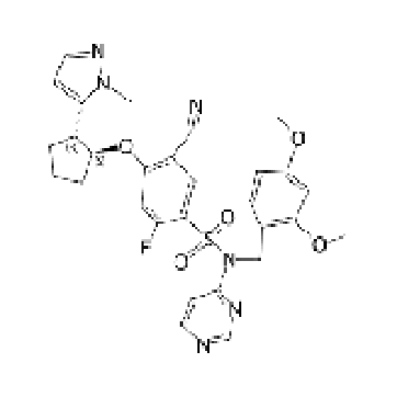 COc1ccc(CN(c2ccncn2)S(=O)(=O)c2cc(C#N)c(O[C@H]3CCC[C@@H]3c3ccnn3C)cc2F)c(OC)c1